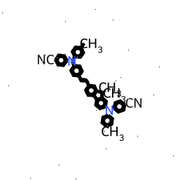 Cc1ccc(N(c2ccc(C#N)cc2)c2ccc(/C=C/c3ccc4c(c3)C(C)(C)c3cc(N(c5ccc(C)cc5)c5ccc(C#N)cc5)ccc3-4)cc2)cc1